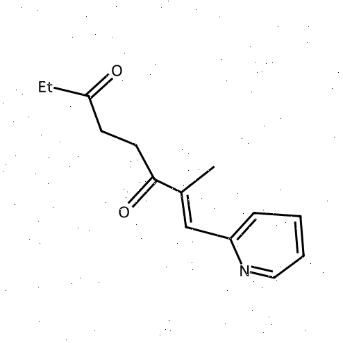 CCC(=O)CCC(=O)/C(C)=C/c1ccccn1